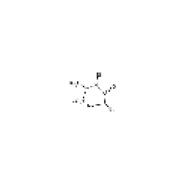 CC[CH]([Na])C(=O)N(CC)C(C(=O)O)C(=O)O